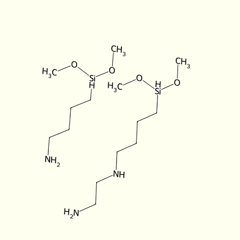 CO[SiH](CCCCN)OC.CO[SiH](CCCCNCCN)OC